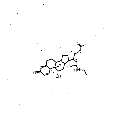 CCNC(=O)O[C@@]1(C(=O)COC(C)=O)[C@@H](C)CC2C3CCC4=CC(=O)C=C[C@]4(C)C3(F)[C@@H](O)C[C@@]21C